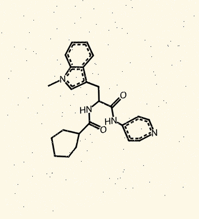 Cn1cc(CC(NC(=O)C2CCCCC2)C(=O)Nc2ccncc2)c2ccccc21